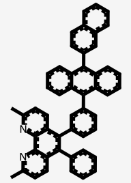 Cc1ccc2c(-c3ccccc3)c(-c3cccc(-c4c5ccccc5c(-c5ccc6ccccc6c5)c5ccccc45)c3)c3ccc(C)nc3c2n1